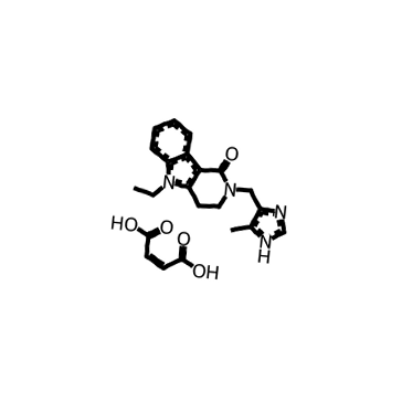 CCn1c2c(c3ccccc31)C(=O)N(Cc1nc[nH]c1C)CC2.O=C(O)/C=C\C(=O)O